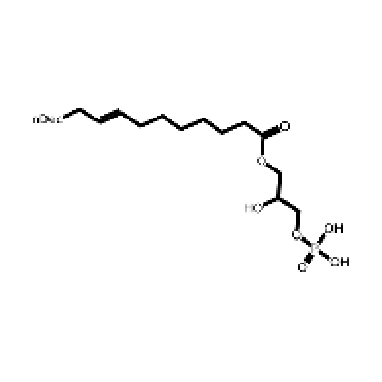 CCCCCCCCCCCC=CCCCCCCC(=O)OCC(O)COP(=O)(O)O